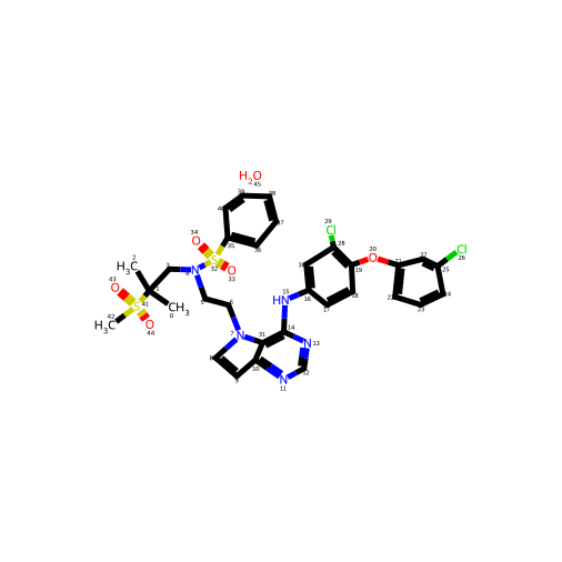 CC(C)(CN(CCn1ccc2ncnc(Nc3ccc(Oc4cccc(Cl)c4)c(Cl)c3)c21)S(=O)(=O)c1ccccc1)S(C)(=O)=O.O